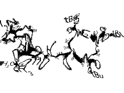 CC(C)(C)OC(=O)N1CCN(C(=O)CCNC(=O)[C@H]2O[C@@H](n3cnc4c(N)ncnc43)[C@@H]3OC(C)(C)O[C@@H]32)CCN(C(=O)OC(C)(C)C)CCN(C(=O)OC(C)(C)C)CC1